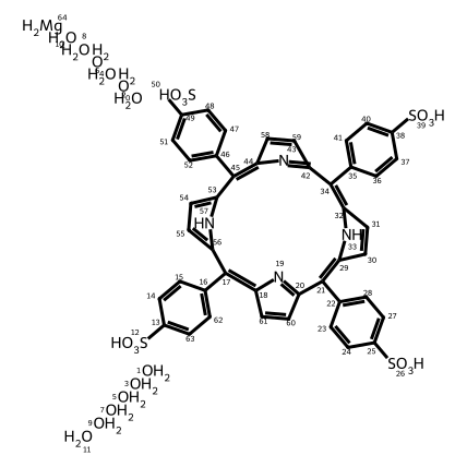 O.O.O.O.O.O.O.O.O.O.O.O.O=S(=O)(O)c1ccc(-c2c3nc(c(-c4ccc(S(=O)(=O)O)cc4)c4ccc([nH]4)c(-c4ccc(S(=O)(=O)O)cc4)c4nc(c(-c5ccc(S(=O)(=O)O)cc5)c5ccc2[nH]5)C=C4)C=C3)cc1.[MgH2]